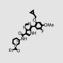 CCC(=O)N1CCC[C@H](NC(=O)c2c[nH]c3c(-c4cc(F)c(OC)cc4OCC4CC4)ncnc23)C1